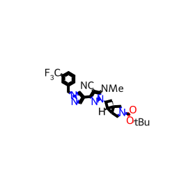 CNc1c(C#N)c(-c2cnn(Cc3cccc(C(F)(F)F)c3)c2)nn1[C@@H]1C[C@]23CN(C(=O)OC(C)(C)C)CC2[C@H]13